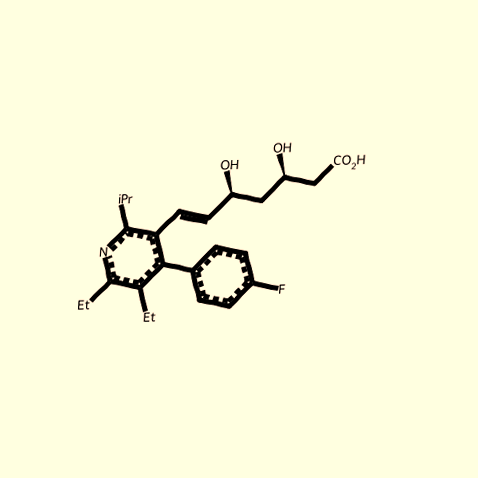 CCc1nc(C(C)C)c(/C=C/[C@@H](O)C[C@@H](O)CC(=O)O)c(-c2ccc(F)cc2)c1CC